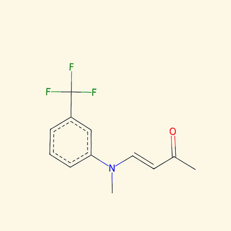 CC(=O)C=CN(C)c1cccc(C(F)(F)F)c1